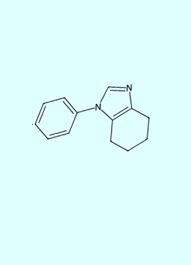 [c]1ccc(-n2cnc3c2CCCC3)cc1